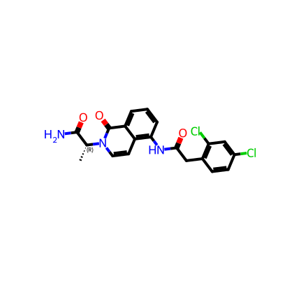 C[C@H](C(N)=O)n1ccc2c(NC(=O)Cc3ccc(Cl)cc3Cl)cccc2c1=O